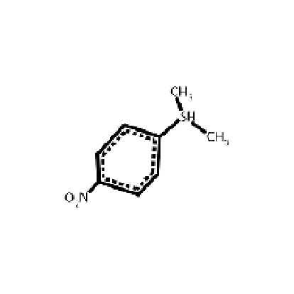 C[SH](C)c1ccc([N+](=O)[O-])cc1